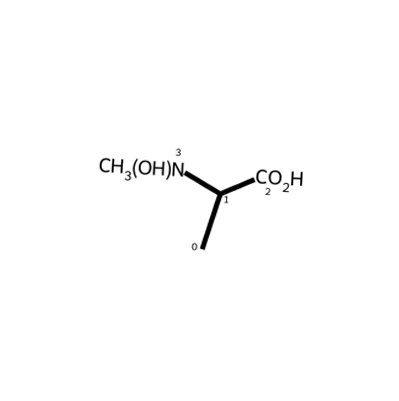 CC(C(=O)O)N(C)O